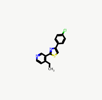 CCc1ccncc1-c1nc(-c2ccc(Cl)cc2)cs1